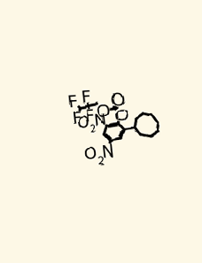 O=C(OCC(F)(F)C(F)F)Oc1c(C2CCCCCCC2)cc([N+](=O)[O-])cc1[N+](=O)[O-]